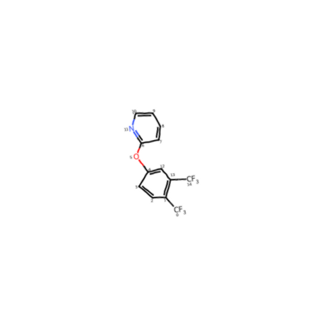 FC(F)(F)c1ccc(Oc2ccc[c]n2)cc1C(F)(F)F